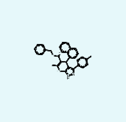 CC1=C(C(=O)OCc2ccccc2)C(c2cccc3ccccc23)c2c(-c3ccc(C)cc3)n[nH]c2N1